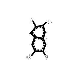 Cc1cc2cc(Cl)c(C)cc2cc1Cl